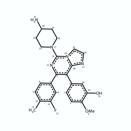 COc1ccc(-c2c(-c3ccc(C)c(F)c3)nc(N3CCC(N)CC3)n3ccnc23)cc1O